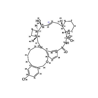 O=C1NS(=O)(=O)[C@@H]2CCCC[C@H]2C/C=C/[C@H](O)[C@@H]2CC[C@H]2CN2CCCCc3cc(Cl)ccc3COc3ccc1cc32